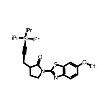 CCOc1ccc2nc(N3CCC(CC#C[Si](C(C)C)(C(C)C)C(C)C)C3=O)sc2c1